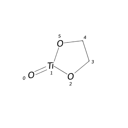 [O]=[Ti]1[O]CC[O]1